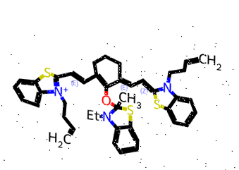 C=CCCN1/C(=C/C=C2\CCCC(/C=C/c3sc4ccccc4[n+]3CCC=C)=C2OC2(C)Sc3ccccc3N2CC)Sc2ccccc21